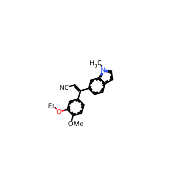 CCOc1cc(C(=CC#N)c2ccc3ccn(C)c3c2)ccc1OC